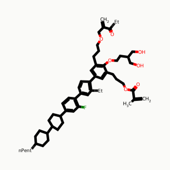 C=C(C)C(=O)OCCCc1cc(-c2ccc(-c3ccc(C4CCC(C5CCC(CCCCC)CC5)CC4)cc3F)cc2CC)cc(CCCOCC(=C)C(=O)CC)c1OCCC(CO)CO